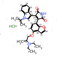 CCN(CC)C(C)COc1ccc(C2=C(c3cn(C(C)C)c4ccccc34)C(=O)NC2=O)c2occc12.Cl